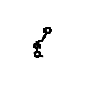 Cc1cccc(-c2ccn(CCC#Cc3ccccn3)n2)c1